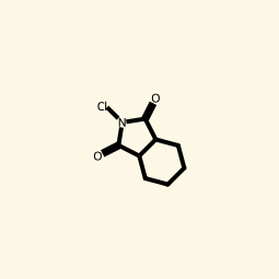 O=C1C2CCCCC2C(=O)N1Cl